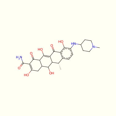 C[C@H]1c2ccc(NC3CCN(C)CC3)c(O)c2C(=O)C2=C(O)C3C(=O)C(C(N)=O)=C(O)CC3C(O)C21